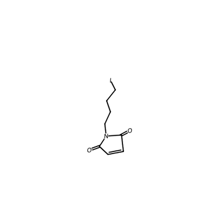 O=C1C=CC(=O)N1CCCCI